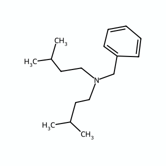 CC(C)CCN(CCC(C)C)Cc1ccccc1